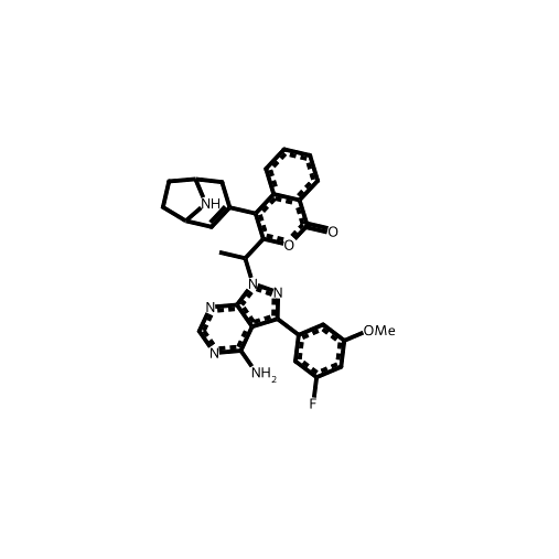 COc1cc(F)cc(-c2nn(C(C)c3oc(=O)c4ccccc4c3C3=CC4CCC(C3)N4)c3ncnc(N)c23)c1